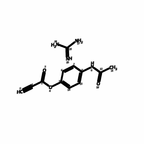 C#CC(=O)Oc1ccc(NC(C)=O)cc1.N=C(N)N